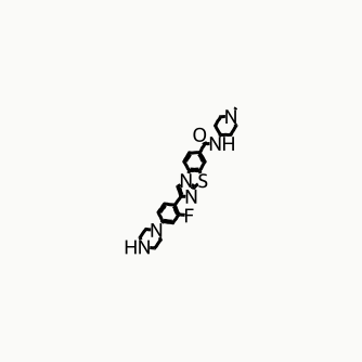 CN1CCC(NC(=O)c2ccc3c(c2)sc2nc(-c4ccc(N5CCNCC5)cc4F)cn23)CC1